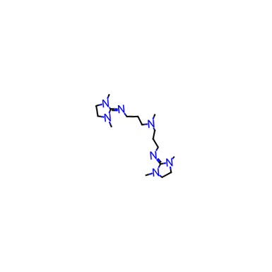 CN(CCCN=C1N(C)CCN1C)CCCN=C1N(C)CCN1C